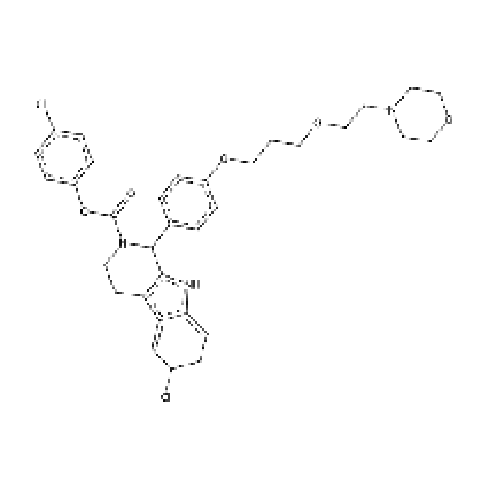 O=C(Oc1ccc(Cl)cc1)N1CCc2c([nH]c3c2=CC(Cl)CC=3)C1c1ccc(OCCCOCCN2CCOCC2)cc1